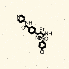 CCC(C(=N)S(=O)(=O)c1ccc(Cl)cc1)C(N)c1ccc(C(=O)Nc2ccncc2)cc1